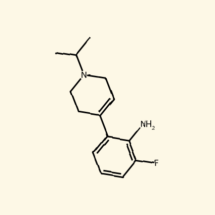 CC(C)N1CC=C(c2cccc(F)c2N)CC1